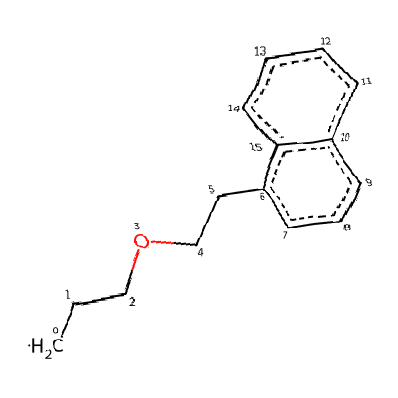 [CH2]CCOCCc1cccc2ccccc12